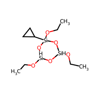 CCO[SiH]1O[SiH](OCC)O[Si](OCC)(C2CC2)O1